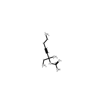 CCCC#CC(C)(CC)OC(=O)O